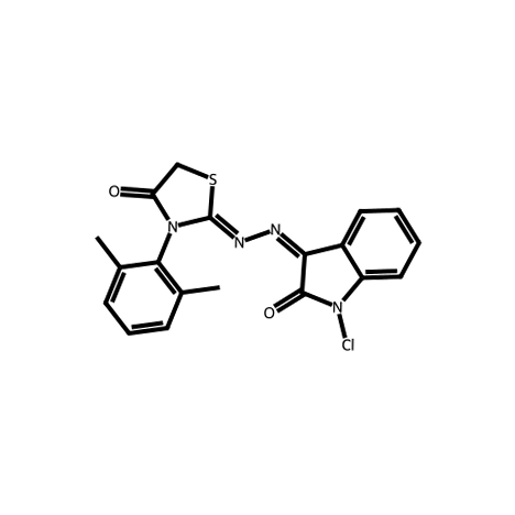 Cc1cccc(C)c1N1C(=O)CSC1=NN=C1C(=O)N(Cl)c2ccccc21